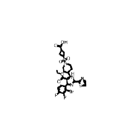 CCOC(=O)C1=C(C2CCN(S(=O)(=O)C3CC(C(=O)O)C3)CC2)NC(c2nccs2)=NC1c1ccc(F)c(F)c1Br